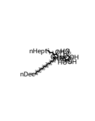 CCCCCCC/C=C/C=C/[C@@H](O)[C@H](CO[C@@H]1O[C@H](CO)[C@@H](O)C(O)C1O)NC(=O)CCCCCCCCCCCCCCCCCCCCC